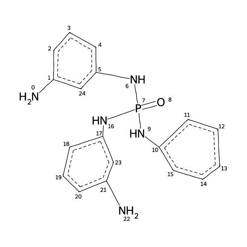 Nc1cccc(NP(=O)(Nc2ccccc2)Nc2cccc(N)c2)c1